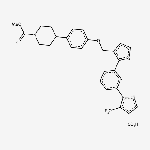 COC(=O)N1CCC(c2ccc(OCc3ccsc3-c3cccc(-n4ncc(C(=O)O)c4C(F)(F)F)n3)cc2)CC1